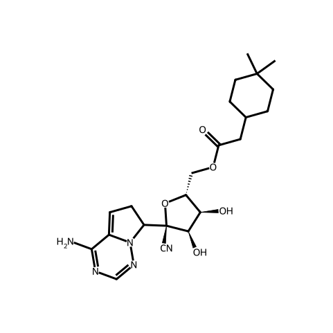 CC1(C)CCC(CC(=O)OC[C@H]2O[C@@](C#N)(C3CC=C4C(N)=NC=NN43)[C@H](O)[C@@H]2O)CC1